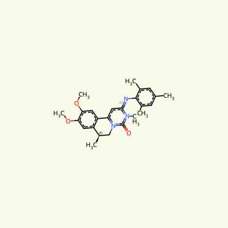 COc1cc2c(cc1OC)[C@H](C)Cn1c-2c/c(=N/c2c(C)cc(C)cc2C)n(C)c1=O